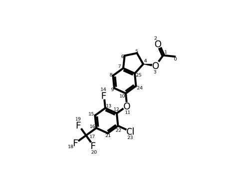 CC(=O)O[C@@H]1CCc2ccc(Oc3c(F)cc(C(F)(F)F)cc3Cl)cc21